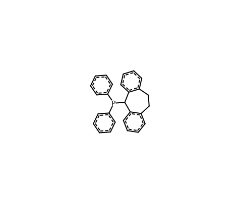 c1ccc(P(c2ccccc2)C2c3ccccc3CCc3ccccc32)cc1